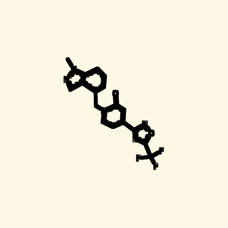 Cn1ncc2c(Cn3ccc(-c4noc(C(F)(F)F)n4)cc3=O)cccc21